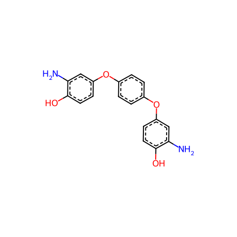 Nc1cc(Oc2ccc(Oc3ccc(O)c(N)c3)cc2)ccc1O